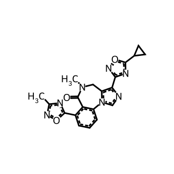 Cc1noc(-c2cccc3c2C(=O)N(C)Cc2c(-c4noc(C5CC5)n4)ncn2-3)n1